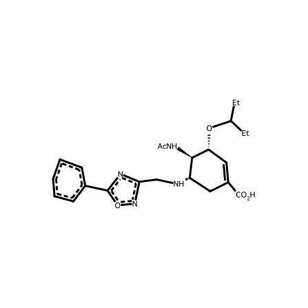 CCC(CC)O[C@@H]1C=C(C(=O)O)C[C@H](NCc2noc(-c3ccccc3)n2)[C@H]1NC(C)=O